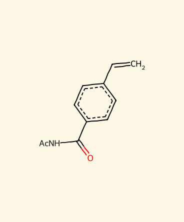 C=Cc1ccc(C(=O)NC(C)=O)cc1